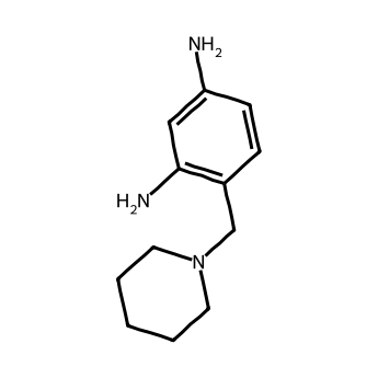 Nc1ccc(CN2CCCCC2)c(N)c1